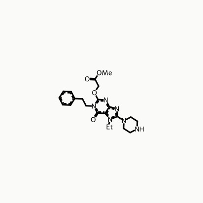 CCn1c(N2CCNCC2)nc2nc(OCC(=O)OC)n(CCc3ccccc3)c(=O)c21